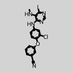 CNc1c(I)ncnc1Nc1ccc(Oc2cccc(C#N)c2)c(Cl)c1